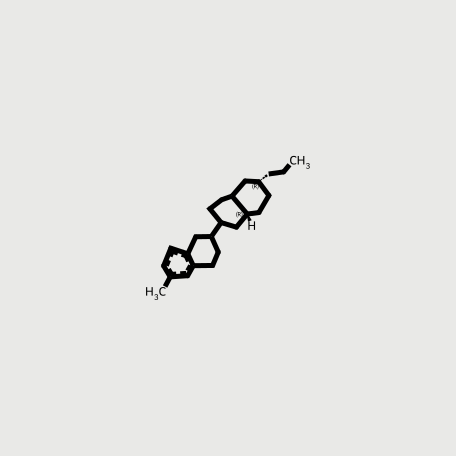 CCC[C@@H]1CC[C@@H]2CC(C3CCc4cc(C)ccc4C3)CCC2C1